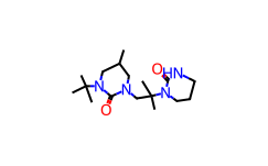 CC1CN(CC(C)(C)N2CCCNC2=O)C(=O)N(C(C)(C)C)C1